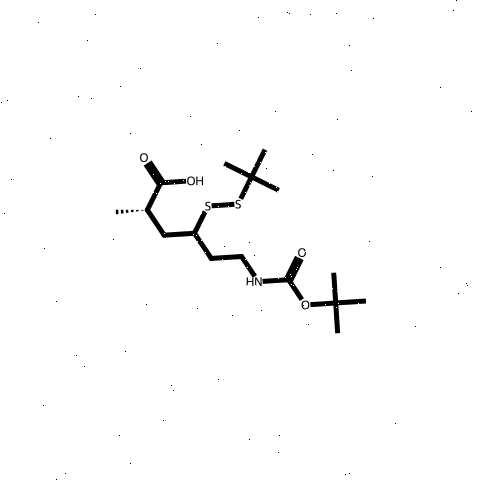 C[C@@H](CC(CCNC(=O)OC(C)(C)C)SSC(C)(C)C)C(=O)O